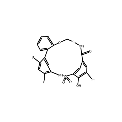 O=C1NCCOc2ccccc2-c2cc(c(F)cc2F)NS(=O)(=O)c2cc1cc(Cl)c2O